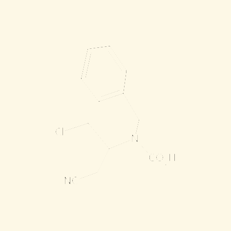 N#CCC(CCl)N(Cc1ccccc1)C(=O)O